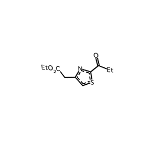 CCOC(=O)Cc1csc(C(=O)CC)n1